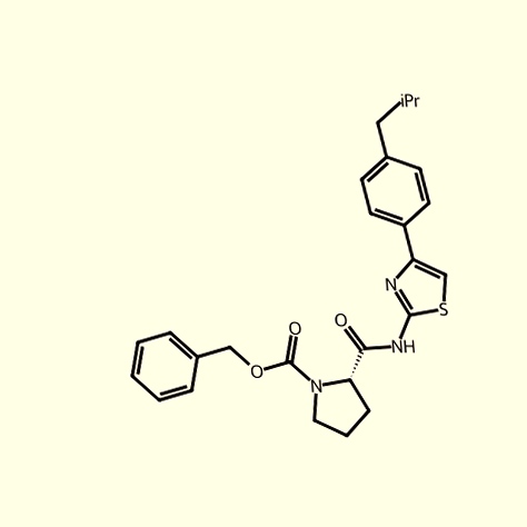 CC(C)Cc1ccc(-c2csc(NC(=O)[C@@H]3CCCN3C(=O)OCc3ccccc3)n2)cc1